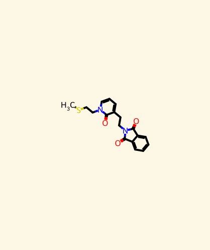 CSCCn1cccc(CCN2C(=O)c3ccccc3C2=O)c1=O